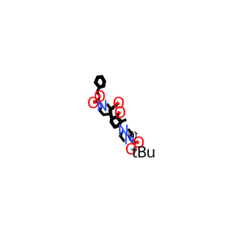 Cc1c(N2CCN(C(=O)OC(C)(C)C)[C@@H](C)C2)ccc2c3c(c(=O)oc12)CN(C(=O)OCc1ccccc1)CC3